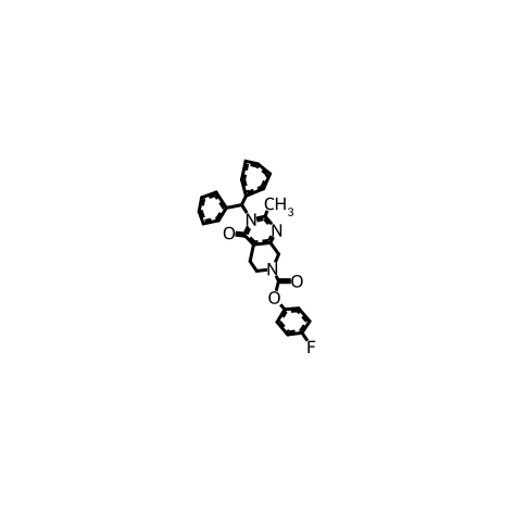 Cc1nc2c(c(=O)n1C(c1ccccc1)c1ccccc1)CCN(C(=O)Oc1ccc(F)cc1)C2